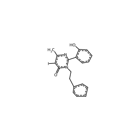 Cc1nc(-c2ccccc2O)n(CCc2ccccc2)c(=O)c1I